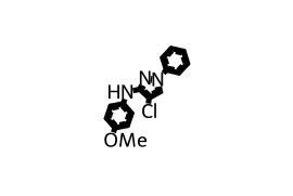 COc1ccc(Nc2nn(-c3ccccc3)cc2Cl)cc1